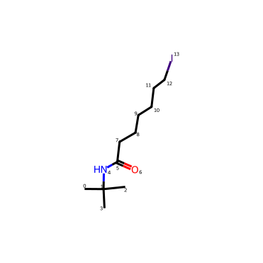 CC(C)(C)NC(=O)CCCCCCI